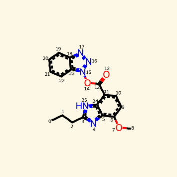 CCCc1nc2c(OC)ccc(C(=O)On3nnc4ccccc43)c2[nH]1